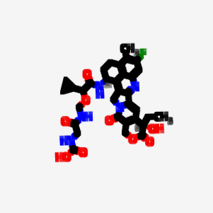 CC[C@@]1(O)C(=O)OCc2c1cc1n(c2=O)Cc2c-1nc1cc(F)c(C)c3c1c2[C@@H](NC(=O)C(OCNC(=O)CNC(=O)O)C1CC1)CC3